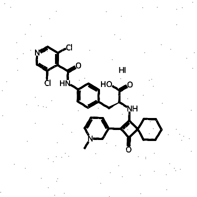 CN1C=CC=C(C2=C(N[C@@H](Cc3ccc(NC(=O)c4c(Cl)cncc4Cl)cc3)C(=O)O)C3(CCCCC3)C2=O)C1.I